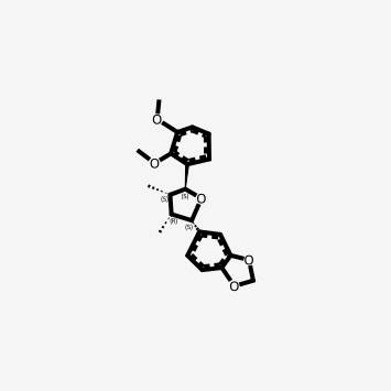 COc1cccc([C@H]2O[C@H](c3ccc4c(c3)OCO4)[C@H](C)[C@@H]2C)c1OC